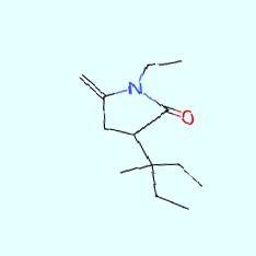 C=C1CC(C(C)(CC)CC)C(=O)N1CC